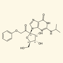 CC(C)Nc1nc2c(ncn2[C@]2(C(=O)COc3ccccc3)O[C@H](CO)[C@@H](O)[C@H]2O)c(=O)[nH]1